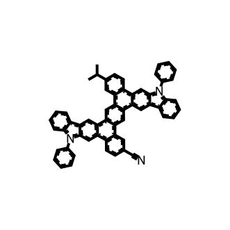 CC(C)c1ccc2c(c1)c1cc3c(cc1c1cc4c5ccccc5n(-c5ccccc5)c4cc21)c1cc(C#N)ccc1c1cc2c(cc31)c1ccccc1n2-c1ccccc1